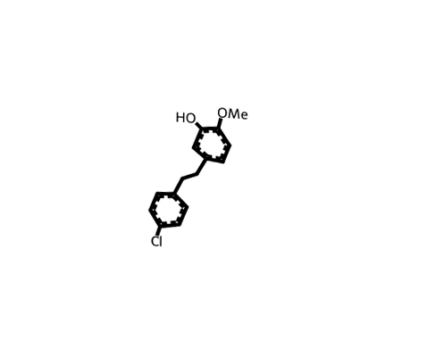 COc1ccc(CCc2ccc(Cl)cc2)cc1O